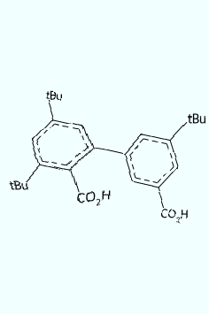 CC(C)(C)c1cc(C(=O)O)cc(-c2cc(C(C)(C)C)cc(C(C)(C)C)c2C(=O)O)c1